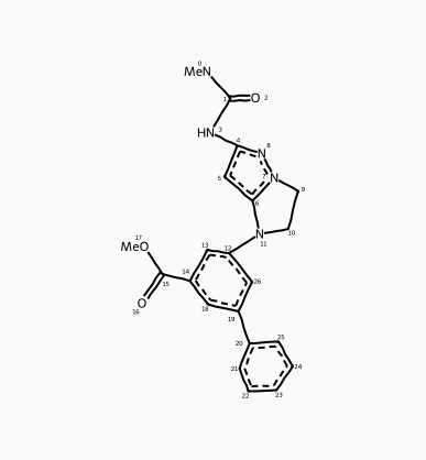 CNC(=O)Nc1cc2n(n1)CCN2c1cc(C(=O)OC)cc(-c2ccccc2)c1